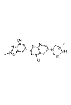 C[C@@H]1CN(c2cnc3nc(-c4cc(C#N)c5nn(C)cc5c4)cc(Cl)c3c2)C[C@H](C)N1